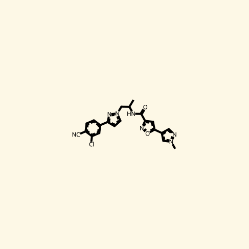 CC(Cn1ccc(-c2ccc(C#N)c(Cl)c2)n1)NC(=O)c1cc(-c2cnn(C)c2)on1